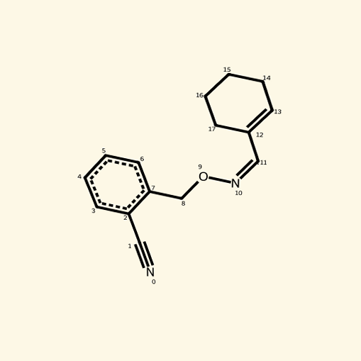 N#Cc1ccccc1CO/N=[C]\C1=CCCCC1